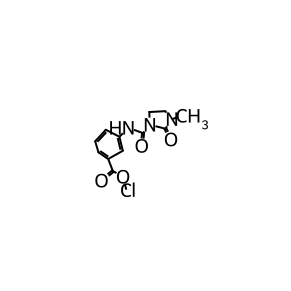 CN1CCN(C(=O)Nc2cccc(C(=O)OCl)c2)C1=O